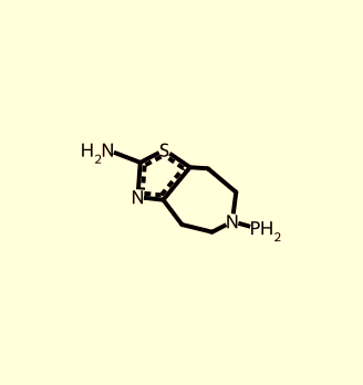 Nc1nc2c(s1)CCN(P)CC2